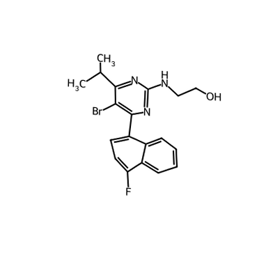 CC(C)c1nc(NCCO)nc(-c2ccc(F)c3ccccc23)c1Br